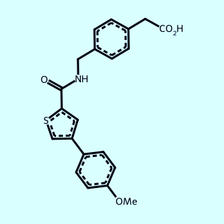 COc1ccc(-c2csc(C(=O)NCc3ccc(CC(=O)O)cc3)c2)cc1